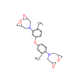 Cc1cc(Oc2ccc(C)c(N(CC3CO3)CC3CO3)c2)ccc1N(CC1CO1)CC1CO1